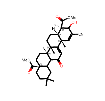 COC(=O)[C@]12CCC(C)(C)CC1C1C(=O)C=C3[C@@]4(C)C=C(C#N)C(O)[C@](C)(C(=O)OC)[C@@H]4CC[C@@]3(C)[C@]1(C)CC2